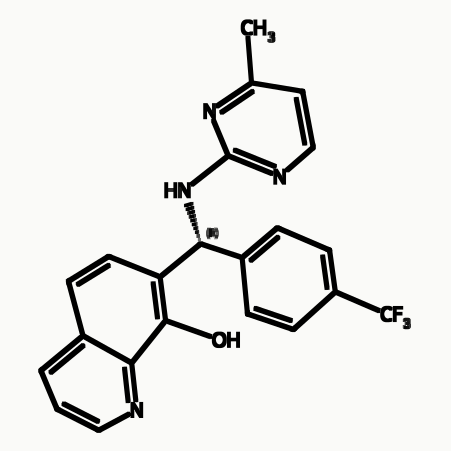 Cc1ccnc(N[C@H](c2ccc(C(F)(F)F)cc2)c2ccc3cccnc3c2O)n1